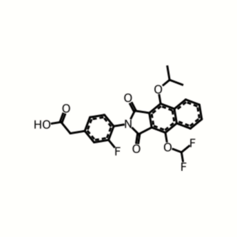 CC(C)Oc1c2c(c(OC(F)F)c3ccccc13)C(=O)N(c1ccc(CC(=O)O)cc1F)C2=O